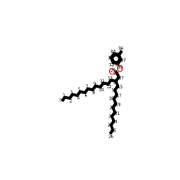 CCCCCCCCCCCCCCC(CCCCCCCCCCCC)CC(=O)Oc1cccc(C)c1